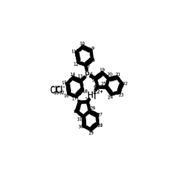 C1=C[CH]([Hf+2][CH]2C(P(c3ccccc3)c3ccccc3)=Cc3ccccc32)c2ccccc21.[Cl-].[Cl-]